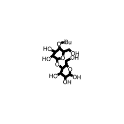 CCC(C)OC1C(CO)OC(OC2C(CO)OC(O)C(O)C2O)C(O)C1O